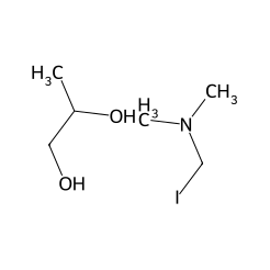 CC(O)CO.CN(C)CI